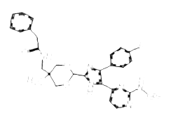 CCCNc1nccc(-c2[nH]c(C3OCC(C)(CNC(=O)Cc4ccccc4)CO3)nc2-c2ccc(F)cc2)n1